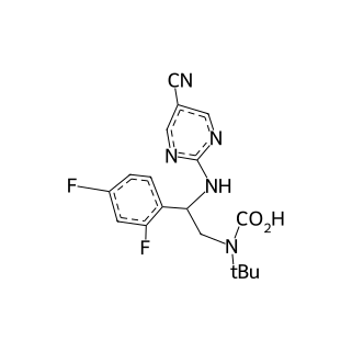 CC(C)(C)N(CC(Nc1ncc(C#N)cn1)c1ccc(F)cc1F)C(=O)O